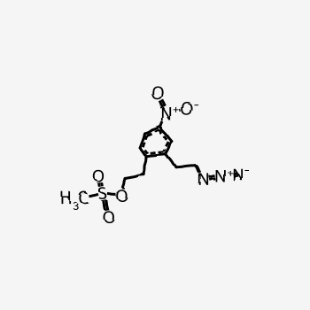 CS(=O)(=O)OCCc1ccc([N+](=O)[O-])cc1CCN=[N+]=[N-]